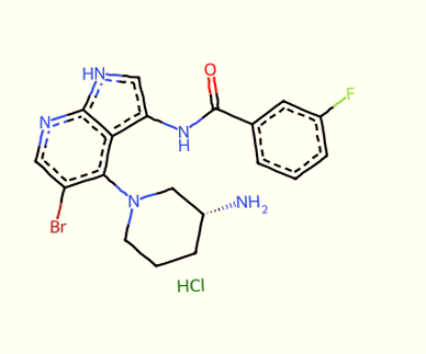 Cl.N[C@@H]1CCCN(c2c(Br)cnc3[nH]cc(NC(=O)c4cccc(F)c4)c23)C1